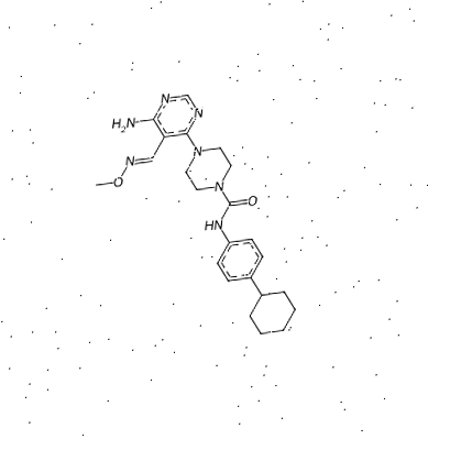 CON=Cc1c(N)ncnc1N1CCN(C(=O)Nc2ccc(C3CCCCC3)cc2)CC1